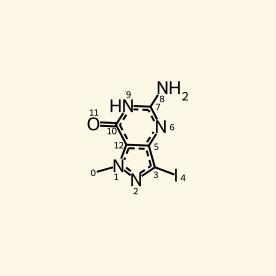 Cn1nc(I)c2nc(N)[nH]c(=O)c21